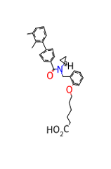 [2H]C1(N(Cc2ccccc2OCCCCCC(=O)O)C(=O)c2ccc(-c3cccc(C)c3C)cc2)CC1